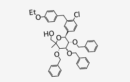 CCOc1ccc(Cc2cc([C@@H]3OC(C)(CO)[C@@H](OCc4ccccc4)[C@H](OCc4ccccc4)[C@H]3OCc3ccccc3)ccc2Cl)cc1